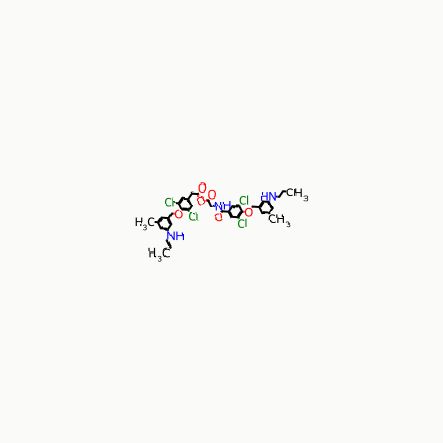 CCCNc1cc(C)cc(COc2c(Cl)cc(CC(=O)OC(=O)CNC(=O)c3cc(Cl)c(OCc4cc(C)cc(NCCC)c4)c(Cl)c3)cc2Cl)c1